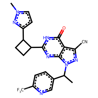 CC(c1ccc(C(F)(F)F)nc1)n1nc(C#N)c2c(=O)[nH]c(C3CCC3c3ccn(C)n3)nc21